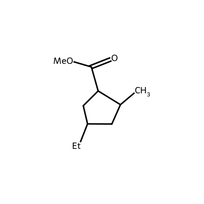 CCC1CC(C)C(C(=O)OC)C1